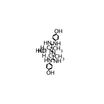 CC(C)(/N=N/C(C)(C)C(=N)Nc1ccc(O)cc1)C(=N)Nc1ccc(O)cc1.Cl.Cl